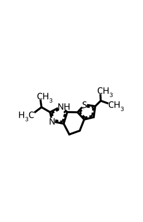 CC(C)c1nc2c([nH]1)-c1sc(C(C)C)cc1CC2